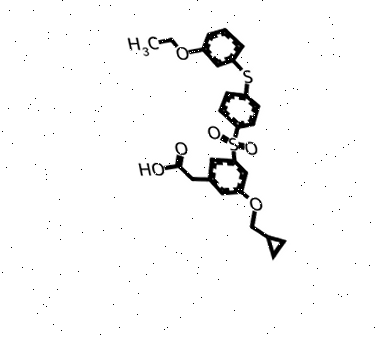 CCOc1cccc(Sc2ccc(S(=O)(=O)c3cc(CC(=O)O)cc(OCC4CC4)c3)cc2)c1